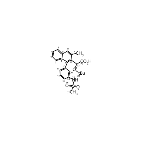 Cc1cc2ccccc2c(-c2cccc(NS(C)(=O)=O)c2)c1[C@H](OC(C)(C)C)C(=O)O